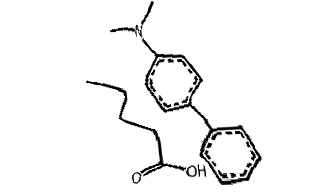 CCCCC(=O)O.CN(C)c1ccc(-c2ccccc2)cc1